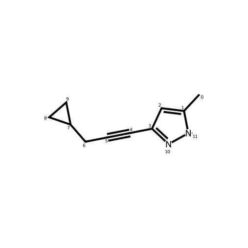 CC1=CC(C#CCC2CC2)=N[N]1